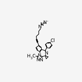 Cc1nnc2n1-c1ccc(C#CCCCCN=[N+]=[N-])cc1C(c1ccc(Cl)cc1)=NC21CC1